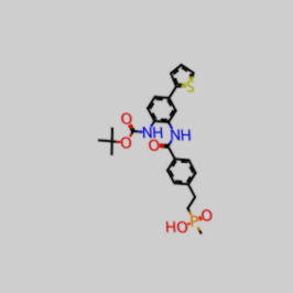 CC(C)(C)OC(=O)Nc1ccc(-c2cccs2)cc1NC(=O)c1ccc(CCP(C)(=O)O)cc1